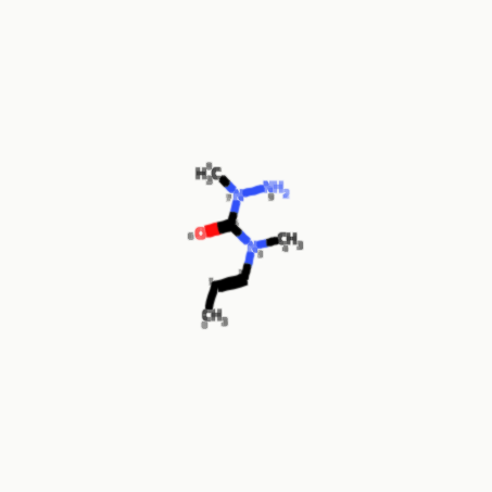 CC=CN(C)C(=O)N(C)N